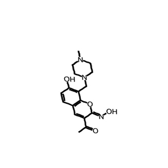 CC(=O)c1cc2ccc(O)c(CN3CCN(C)CC3)c2oc1=NO